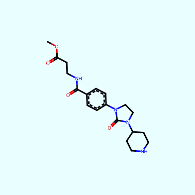 COC(=O)CCNC(=O)c1ccc(N2CCN(C3CCNCC3)C2=O)cc1